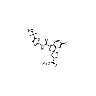 COC(=O)N1CCC2(C1)CN(C(=O)Nc1ncc(C(C)(C)O)s1)c1ccc(Cl)cc12